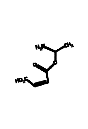 CC(N)OC(=O)/C=C\C(=O)O